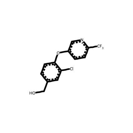 OCc1ccc(Oc2ccc(C(F)(F)F)nc2)c(Cl)c1